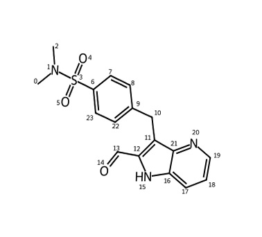 CN(C)S(=O)(=O)c1ccc(Cc2c(C=O)[nH]c3cccnc23)cc1